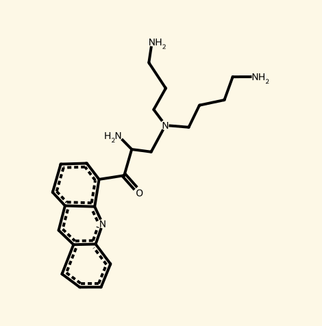 NCCCCN(CCCN)CC(N)C(=O)c1cccc2cc3ccccc3nc12